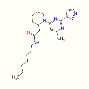 CCCCCCCNC(=O)CC1CCCCN1c1cc(C)nc(-n2ccnc2)n1